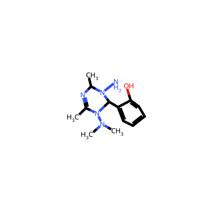 CC1=NC(C)N(N)C(c2ccccc2O)N1N(C)C